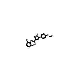 Cn1nc(C(=O)Nc2c(F)cccc2F)cc1-c1ccc(OCCl)nc1